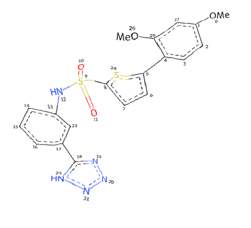 COc1ccc(-c2ccc(S(=O)(=O)Nc3cccc(-c4nnn[nH]4)c3)s2)c(OC)c1